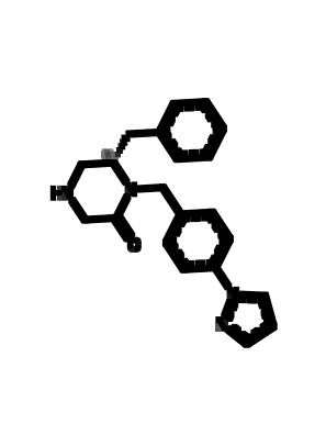 O=C1CNC[C@H](Cc2ccccc2)N1Cc1ccc(-n2cccn2)cc1